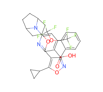 O=C(O)c1cnc(N2C3CCC2CC(OCc2c(-c4ccccc4OC(F)(F)F)noc2C2CC2)C3)cc1C(F)(F)F